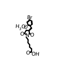 COc1cc(Br)ccc1/C=C1\CC(=O)N(CCCCCCC(=O)O)C1=O